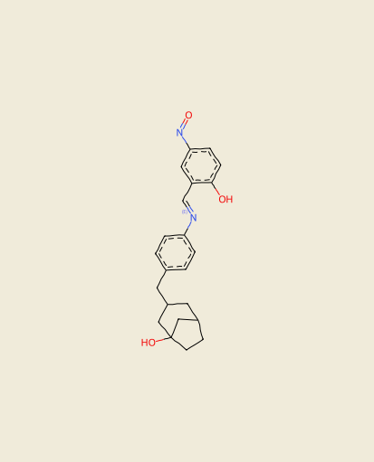 O=Nc1ccc(O)c(/C=N/c2ccc(CC3CC4CCC(O)(C4)C3)cc2)c1